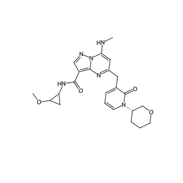 CNc1cc(Cc2cccn([C@H]3CCCOC3)c2=O)nc2c(C(=O)NC3CC3OC)cnn12